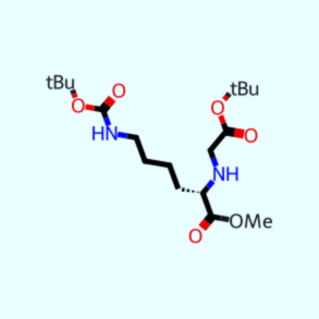 COC(=O)[C@H](CCCCNC(=O)OC(C)(C)C)NCC(=O)OC(C)(C)C